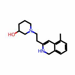 Cc1cccc2c1C=C(CCN1CCCC(O)C1)NC2